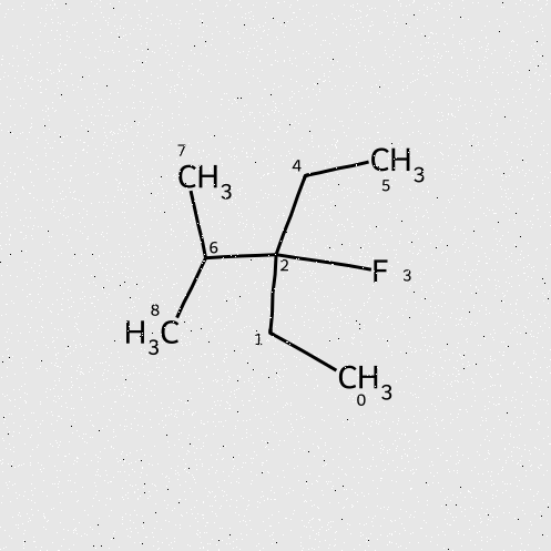 CCC(F)(CC)C(C)C